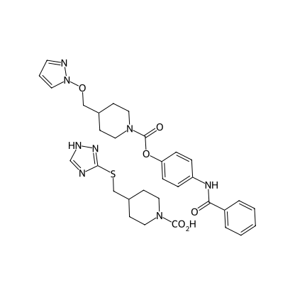 O=C(Nc1ccc(OC(=O)N2CCC(COn3cccn3)CC2)cc1)c1ccccc1.O=C(O)N1CCC(CSc2nc[nH]n2)CC1